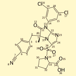 C[C@@]1(Cc2ccc(C#N)cc2)C(=O)N(c2cc(Cl)cc(Cl)c2)c2ncc(S(=O)(=O)N3CCCC3C(=O)O)n21